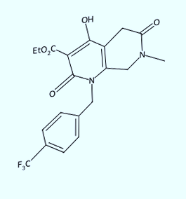 CCOC(=O)c1c(O)c2c(n(Cc3ccc(C(F)(F)F)cc3)c1=O)CN(C)C(=O)C2